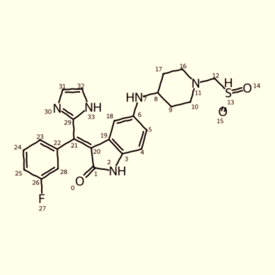 O=C1Nc2ccc(NC3CCN(C[SH](=O)=O)CC3)cc2C1=C(c1cccc(F)c1)c1ncc[nH]1